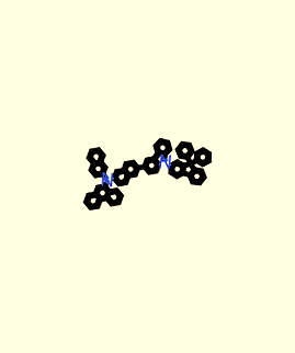 c1ccc(C2(c3ccccc3)c3ccccc3-c3ccc(-n4c5ccccc5c5cc(-c6ccc7cc(N(c8ccc9ccccc9c8)c8cc9ccccc9c9ccccc89)ccc7c6)ccc54)cc32)cc1